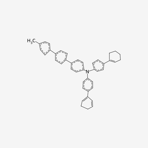 Cc1ccc(-c2ccc(-c3ccc(N(c4ccc(C5=CCCC=C5)cc4)c4ccc(C5=CCCCC5)cc4)cc3)cc2)cc1